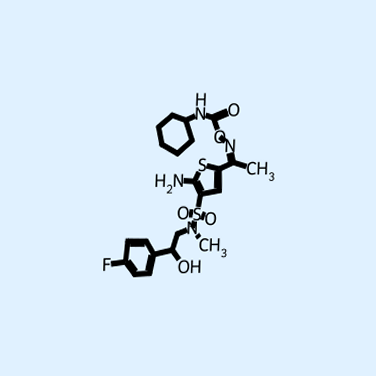 C/C(=N/OC(=O)NC1CCCCC1)c1cc(S(=O)(=O)N(C)CC(O)c2ccc(F)cc2)c(N)s1